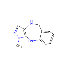 Cn1ncc2c1Nc1ccccc1CN2